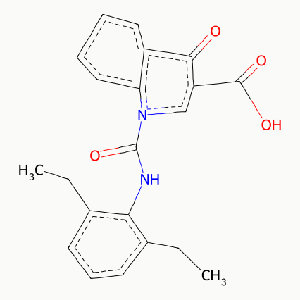 CCc1cccc(CC)c1NC(=O)n1cc(C(=O)O)c(=O)c2ccccc21